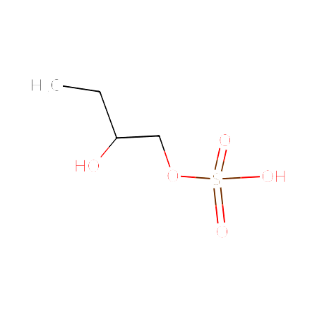 CCC(O)COS(=O)(=O)O